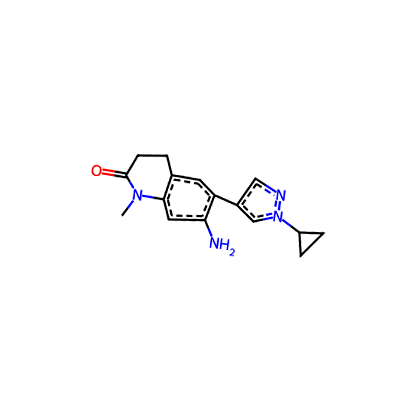 CN1C(=O)CCc2cc(-c3cnn(C4CC4)c3)c(N)cc21